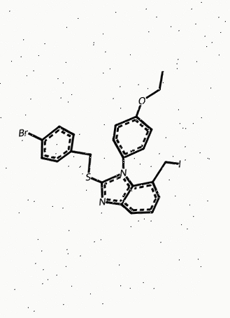 CCOc1ccc(-n2c(SCc3ccc(Br)cc3)nc3cccc(CI)c32)cc1